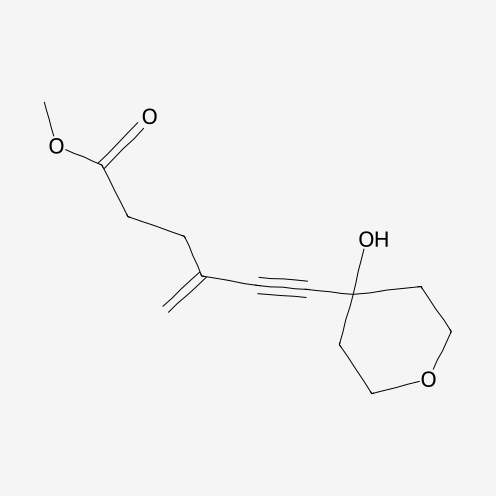 C=C(C#CC1(O)CCOCC1)CCC(=O)OC